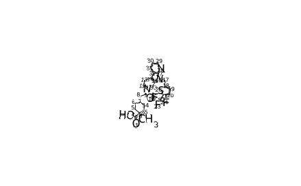 C[C@]1(C(=O)O)CC[C@H](CC(=O)N2CCc3c(n(Cc4ccc(C(F)(F)F)s4)c4ncccc34)C2)CC1